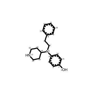 Oc1ccc(N(CCc2ccccc2)C2CCNCC2)cc1